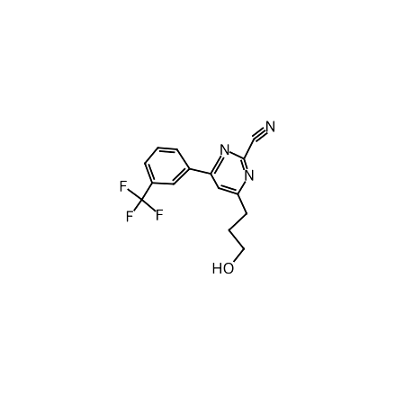 N#Cc1nc(CCCO)cc(-c2cccc(C(F)(F)F)c2)n1